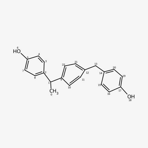 CC(c1ccc(O)cc1)c1ccc(Cc2ccc(O)cc2)cc1